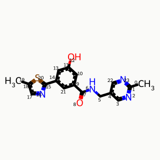 Cc1ncc(CNC(=O)c2cc(O)cc(-c3ncc(C)s3)c2)cn1